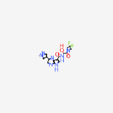 Cn1cc(-c2cnc3[nH]cc(C(=O)NC(O)C(=O)N4CC(F)(F)C4)c3n2)cn1